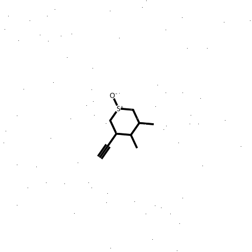 C#CC1C[S+]([O-])CC(C)C1C